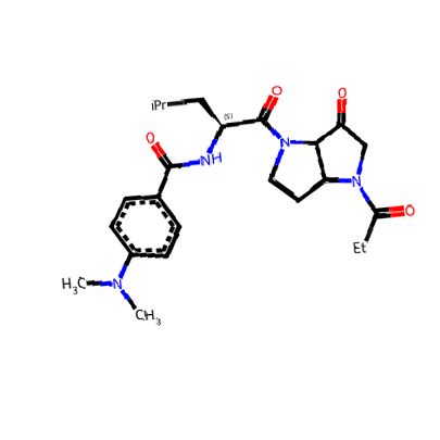 CCC(=O)N1CC(=O)C2C1CCN2C(=O)[C@H](CC(C)C)NC(=O)c1ccc(N(C)C)cc1